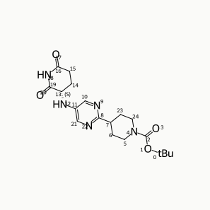 CC(C)(C)OC(=O)N1CCC(c2ncc(N[C@H]3CCC(=O)NC3=O)cn2)CC1